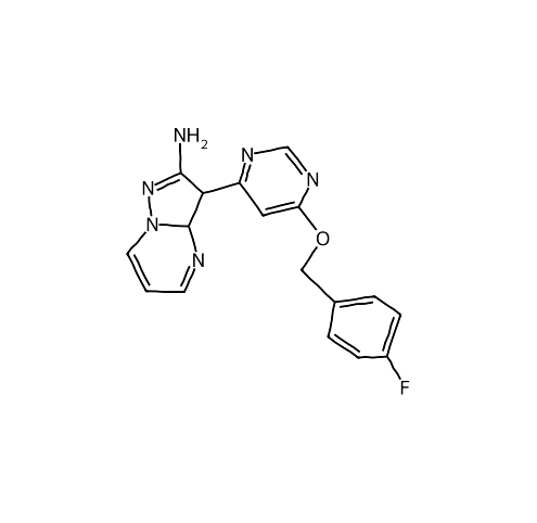 NC1=NN2C=CC=NC2C1c1cc(OCc2ccc(F)cc2)ncn1